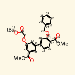 COC(=O)c1cc(OCC(=O)OC(C)(C)C)cc(-c2ccc(C(=O)OC)c(OCc3ccccc3)c2)c1